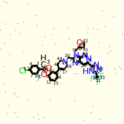 C[C@]1(c2ccc(Cl)cc2F)Oc2cccc(C3=CCN(Cc4nc5cc(-c6nnc(C(F)(F)F)[nH]6)nnc5n4C[C@@H]4CCO4)CC3)c2O1